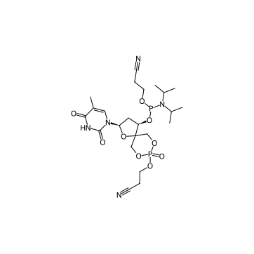 Cc1cn([C@H]2C[C@@H](OP(OCCC#N)N(C(C)C)C(C)C)C3(COP(=O)(OCCC#N)OC3)O2)c(=O)[nH]c1=O